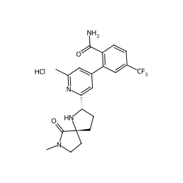 Cc1cc(-c2cc(C(F)(F)F)ccc2C(N)=O)cc([C@@H]2CC[C@]3(CCN(C)C3=O)N2)n1.Cl